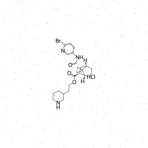 Cl.O=C(OCCC1CCCNC1)[C@H]1[C@H](C(=O)Nc2ccc(Br)nc2)[C@@H]2CC[C@H]1C21CC1